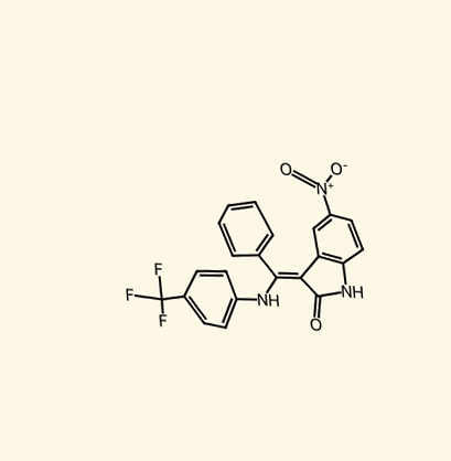 O=C1Nc2ccc([N+](=O)[O-])cc2/C1=C(/Nc1ccc(C(F)(F)F)cc1)c1ccccc1